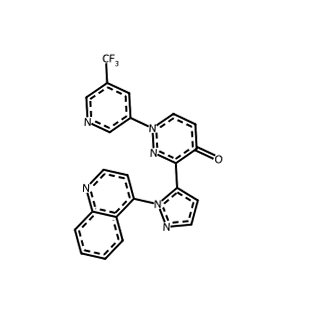 O=c1ccn(-c2cncc(C(F)(F)F)c2)nc1-c1ccnn1-c1ccnc2ccccc12